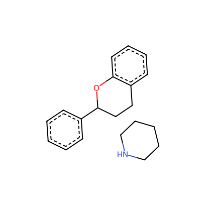 C1CCNCC1.c1ccc(C2CCc3ccccc3O2)cc1